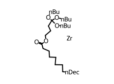 CCCCCCCCCCCCCCCCCC(=O)OCCCC(OCCCC)(OCCCC)OCCCC.[Zr]